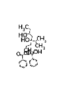 CCCC(O)(CC(O)CC)C(C)C.O=C(O)c1ccccc1.O=C(O)c1ccccc1